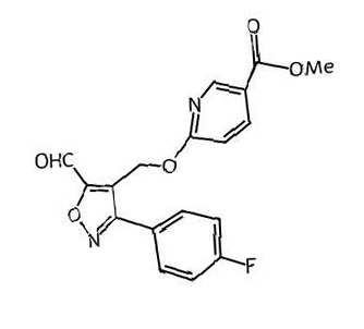 COC(=O)c1ccc(OCc2c(-c3ccc(F)cc3)noc2C=O)nc1